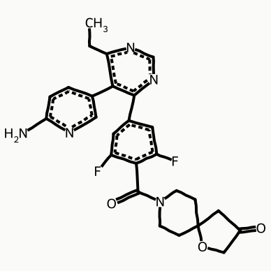 CCc1ncnc(-c2cc(F)c(C(=O)N3CCC4(CC3)CC(=O)CO4)c(F)c2)c1-c1ccc(N)nc1